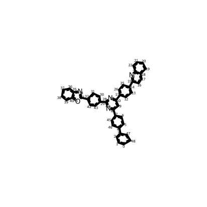 c1ccc(-c2ccc(-c3cc(-c4ccc(-c5ccc6ccccc6n5)cc4)nc(-c4ccc(-c5nc6ccccc6o5)cc4)n3)cc2)cc1